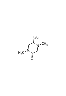 CN1CC(C(C)(C)C)N(C)CC1=O